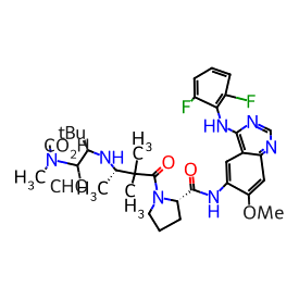 COc1cc2ncnc(Nc3c(F)cccc3F)c2cc1NC(=O)[C@@H]1CCCN1C(=O)C(C)(C)[C@H](C)N[C@@H](C(C=O)N(C)C(=O)O)C(C)(C)C